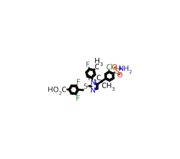 Cc1cc(-n2c(C(C)(C)c3ccc(S(N)(=O)=O)c(Cl)c3)cnc2SCc2c(F)cc(C(=O)O)cc2F)ccc1F